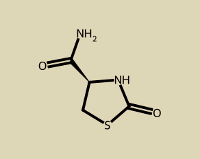 NC(=O)[C@@H]1CSC(=O)N1